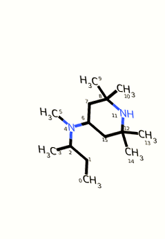 CCC(C)N(C)C1CC(C)(C)NC(C)(C)C1